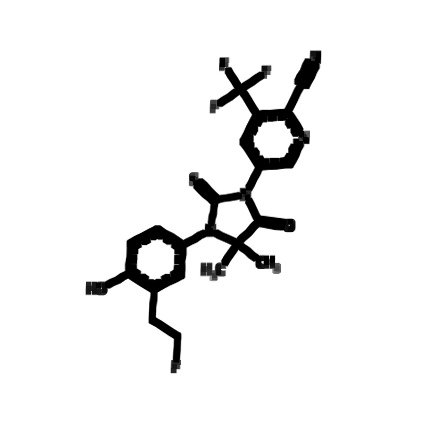 CC1(C)C(=O)N(c2cnc(C#N)c(C(F)(F)F)c2)C(=S)N1c1ccc(O)c(CCF)c1